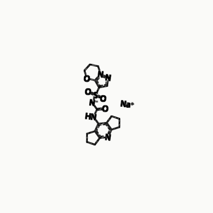 O=C([N-]S(=O)(=O)c1cnn2c1OCCC2)Nc1c2c(nc3c1CCC3)CCC2.[Na+]